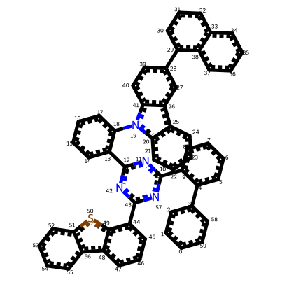 c1ccc(-c2ccccc2-c2nc(-c3ccccc3-n3c4ccccc4c4cc(-c5cccc6ccccc56)ccc43)nc(-c3cccc4c3sc3ccccc34)n2)cc1